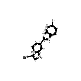 Fc1ccc2nc(-c3ccn4c(Br)cnc4c3)oc2n1